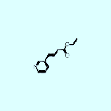 CCOC(=O)C/C=C/c1cccnc1